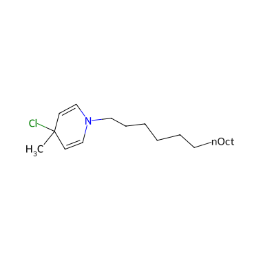 CCCCCCCCCCCCCCN1C=CC(C)(Cl)C=C1